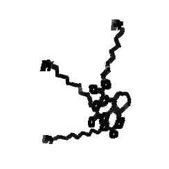 CC(C)CCCCCCCCOC(=O)OC1CCCC(OC(=O)OCCCCCCCCC(C)C)C1OC(=O)OCCCCCCCCC(C)C